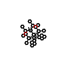 c1ccc(-c2cc(-c3ccccc3)cc(-c3cc(-c4cc5c6c(c4)N(c4cc(-c7ccccc7)cc(-c7ccccc7)c4)c4c(cc7ccc8cccc9ccc4c7c89)B6c4cc6ccc7cccc8ccc(c4N5c4cc(-c5ccccc5)cc(-c5ccccc5)c4)c6c78)cc(-c4cc(-c5ccccc5)cc(-c5ccccc5)c4)n3)c2)cc1